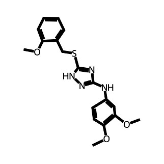 COc1ccccc1CSc1nc(Nc2ccc(OC)c(OC)c2)n[nH]1